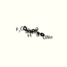 CO[C@H]1CCN(C(=O)CNC(=O)c2ccc3c(c2)nc(Nc2nc4ccc(C(F)(F)F)cc4s2)n3C)C1